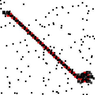 C=CCOC(C)COC(C)COC(C)COC(C)COC(C)COCCOCCOCCOCCOCCOCCOCCOCCOCCOCCOCCOCCOCCOCCOCCOCCOCCOCCOCCOCCOCCOCCOCCOCCOCCOCCOC(=O)C=C